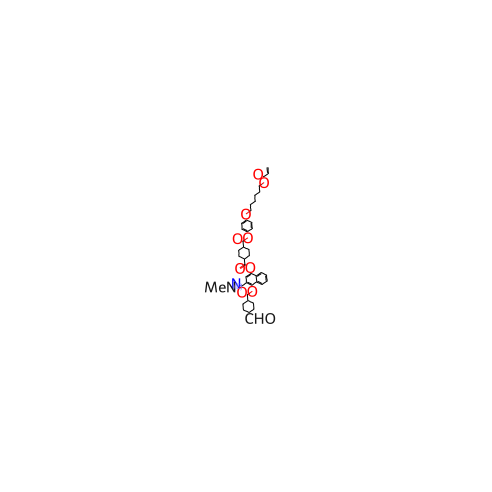 C=CC(=O)OCCCCCCOc1ccc(OC(=O)C2CCC(C(=O)Oc3cc(/C=N/NC)c(OC(=O)C4CCC(C=O)CC4)c4ccccc34)CC2)cc1